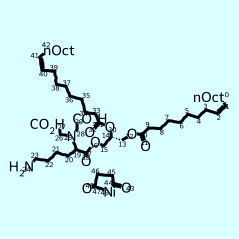 CCCCCCCC/C=C\CCCCCCCC(=O)OC[C@H](COC(=O)C(CCCCN)N(CC(=O)O)CC(=O)O)OC(=O)CCCCCCC/C=C\CCCCCCCC.O=[C]1CC[C](=O)[Ni]1